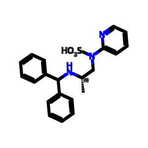 C[C@@H](CN(c1ccccn1)S(=O)(=O)O)NC(c1ccccc1)c1ccccc1